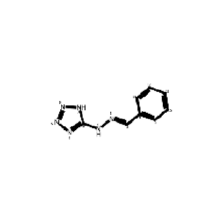 C(=NNc1nnn[nH]1)c1ccccc1